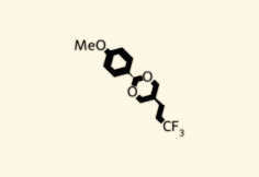 COc1ccc([C@H]2OC[C@H](CCC(F)(F)F)CO2)cc1